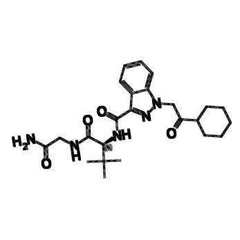 CC(C)(C)[C@H](NC(=O)c1nn(CC(=O)C2CCCCC2)c2ccccc12)C(=O)NCC(N)=O